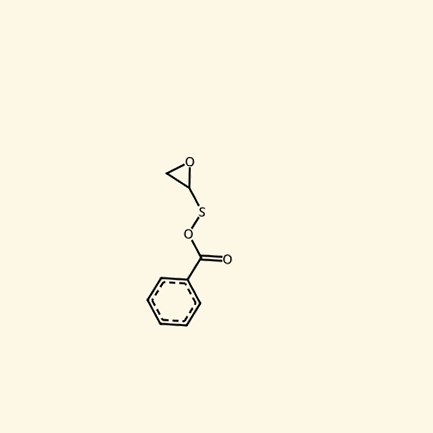 O=C(OSC1CO1)c1ccccc1